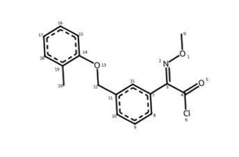 CON=C(C(=O)Cl)c1cccc(COc2ccccc2C)c1